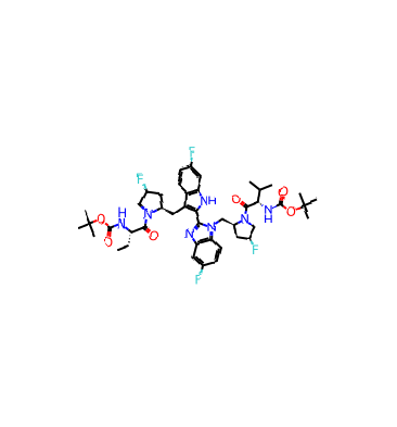 CC[C@H](NC(=O)OC(C)(C)C)C(=O)N1C[C@@H](F)C[C@H]1Cc1c(-c2nc3cc(F)ccc3n2C[C@@H]2C[C@H](F)CN2C(=O)[C@@H](NC(=O)OC(C)(C)C)C(C)C)[nH]c2cc(F)ccc12